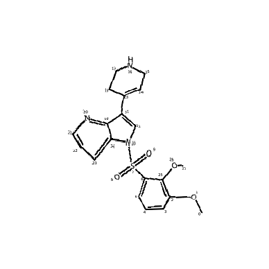 COc1cccc(S(=O)(=O)n2cc(C3=CCNCC3)c3ncccc32)c1OC